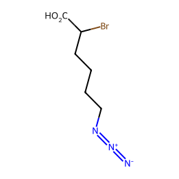 [N-]=[N+]=NCCCCC(Br)C(=O)O